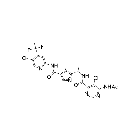 CC(=O)Nc1ncnc(C(=O)NC(C)c2ncc(C(=O)Nc3cc(C(C)(F)F)c(Cl)cn3)s2)c1Cl